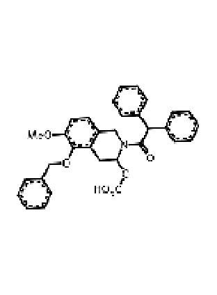 COc1ccc2c(c1OCc1ccccc1)CC(OC(=O)O)N(C(=O)C(c1ccccc1)c1ccccc1)C2